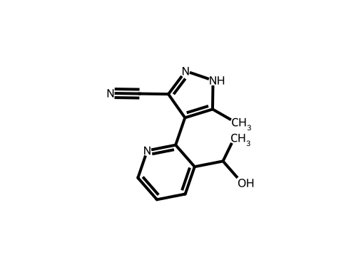 Cc1[nH]nc(C#N)c1-c1ncccc1C(C)O